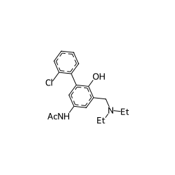 CCN(CC)Cc1cc(NC(C)=O)cc(-c2ccccc2Cl)c1O